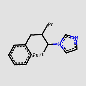 CCCCCC(C(Cc1ccccc1)C(C)C)n1ccnc1